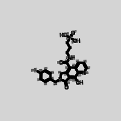 O=C(NCCCP(=O)(O)O)c1c2c(c(O)c3ncccc13)C(=O)N(Cc1ccc(F)cc1)C2